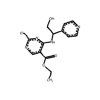 CCOC(=O)c1cnc(Cl)nc1NC(CO)c1ccncc1